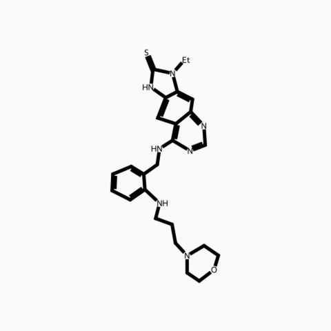 CCn1c(=S)[nH]c2cc3c(NCc4ccccc4NCCCN4CCOCC4)ncnc3cc21